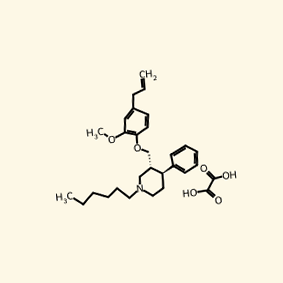 C=CCc1ccc(OC[C@H]2CN(CCCCCC)CC[C@@H]2c2ccccc2)c(OC)c1.O=C(O)C(=O)O